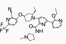 CCOc1ncccc1-c1ccc(N2CC[C@@H](Oc3ccc(C(F)(F)F)nc3C#N)C[C@H]2CC)c(C(=O)N[C@@H]2CCN(C)C2)n1